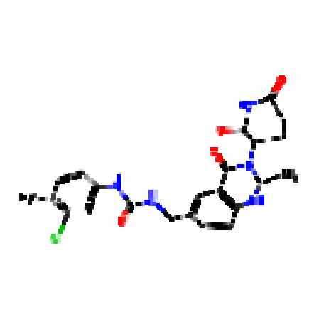 Cc1ccc(NC(=O)NCc2ccc3c(c2)C(=O)N(C2CCC(=O)NC2=O)C(C)N3)cc1Cl